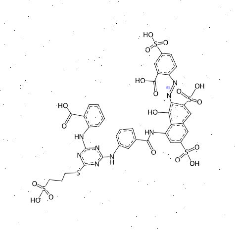 O=C(Nc1cc(S(=O)(=O)O)cc2cc(S(=O)(=O)O)c(/N=N/c3ccc(S(=O)(=O)O)cc3C(=O)O)c(O)c12)c1cccc(Nc2nc(Nc3ccccc3C(=O)O)nc(SCCCS(=O)(=O)O)n2)c1